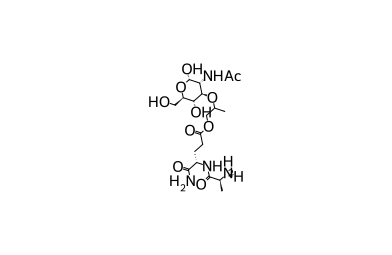 [2H]N[C@@H](C)C(=O)N[C@@H](CCC(=O)OCC(C)O[C@H]1[C@H](O)[C@@H](CO)O[C@H](O)[C@@H]1NC(C)=O)C(N)=O